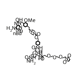 CCCCOc1nc(N)c2nc(O)n(Cc3ccc(CCN4CCN(C(=O)OCc5ccc(NC(=O)[C@H](CCCNC(N)=O)NC(=O)[C@@H](NC(=O)CCOCCOCCOCCN6C(=O)C=CC6=O)C(C)C)cc5)CC4)cc3OC)c2n1